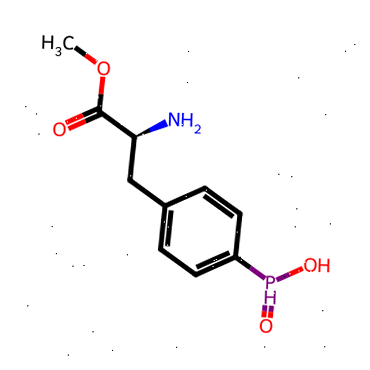 COC(=O)[C@@H](N)Cc1ccc([PH](=O)O)cc1